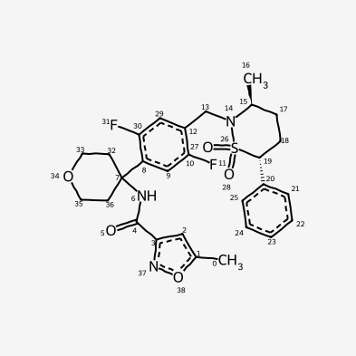 Cc1cc(C(=O)NC2(c3cc(F)c(CN4[C@@H](C)CC[C@H](c5ccccc5)S4(=O)=O)cc3F)CCOCC2)no1